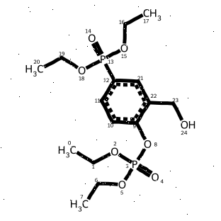 CCOP(=O)(OCC)Oc1ccc(P(=O)(OCC)OCC)cc1CO